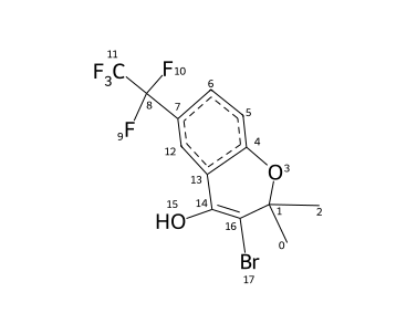 CC1(C)Oc2ccc(C(F)(F)C(F)(F)F)cc2C(O)=C1Br